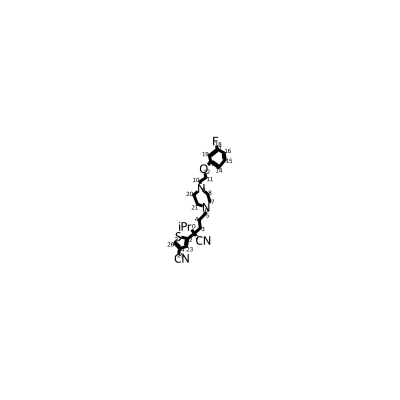 CC(C)C(C#N)(CCCN1CCN(CCOc2cccc(F)c2)CC1)c1cc(C#N)cs1